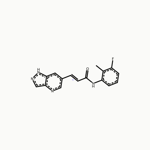 Cc1c(F)cccc1NC(=O)/C=C/c1cnc2cn[nH]c2c1